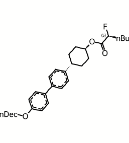 CCCCCCCCCCOc1ccc(-c2ccc([C@H]3CC[C@H](OC(=O)[C@@H](F)CCCC)CC3)cc2)cc1